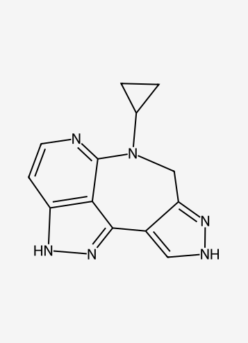 c1cc2[nH]nc3c2c(n1)N(C1CC1)Cc1n[nH]cc1-3